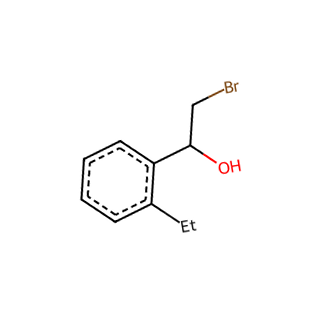 CCc1ccccc1C(O)CBr